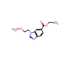 CCOC(=O)c1ccc2ncn(CCOC)c2c1